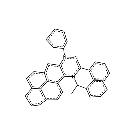 CC(c1ccccc1)n1c(-c2ccccc2)nn(-c2ccccc2)c2cc3ccc4cccc5ccc(c3c45)c21